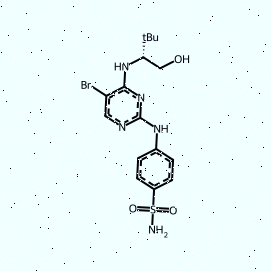 CC(C)(C)[C@H](CO)Nc1nc(Nc2ccc(S(N)(=O)=O)cc2)ncc1Br